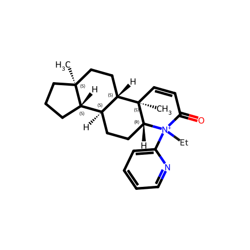 CC[N+]1(c2ccccn2)C(=O)C=C[C@@]2(C)[C@H]1CC[C@H]1[C@@H]3CCC[C@@]3(C)CC[C@@H]12